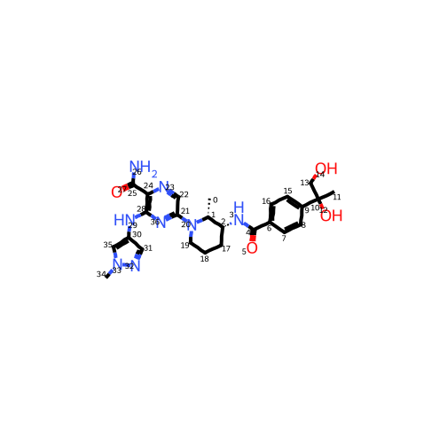 C[C@@H]1[C@H](NC(=O)c2ccc(C(C)(O)CO)cc2)CCCN1c1cnc(C(N)=O)c(Nc2cnn(C)c2)n1